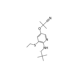 CCSc1cc(OC(C)(C)C#N)cnc1N[CH]C(C)(C)C